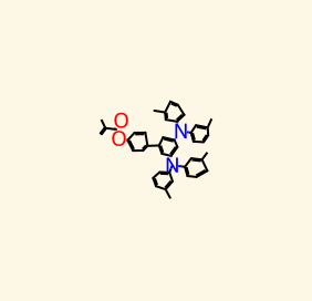 C=C(C)C(=O)Oc1ccc(-c2cc(N(c3cccc(C)c3)c3cccc(C)c3)cc(N(c3cccc(C)c3)c3cccc(C)c3)c2)cc1